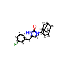 O=c1[nH]c(Cc2cccc(F)c2)cn1C1C2CC3CC(C2)CC1C3